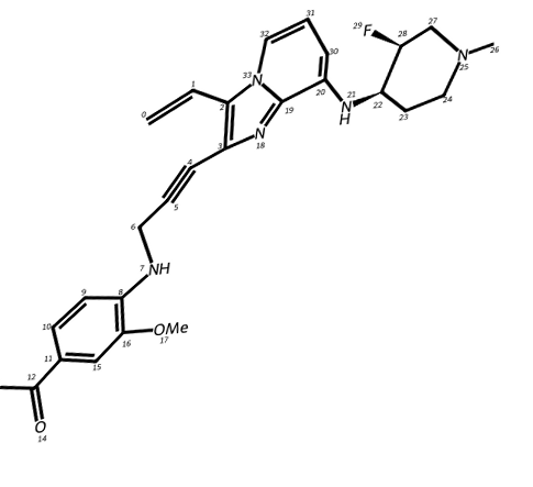 C=Cc1c(C#CCNc2ccc(C(N)=O)cc2OC)nc2c(N[C@@H]3CCN(C)C[C@@H]3F)cccn12